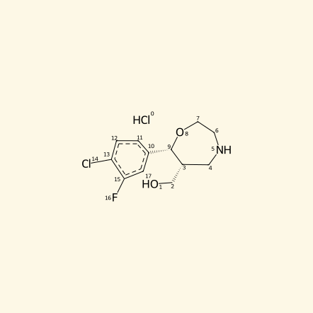 Cl.OC[C@H]1CNCCO[C@H]1c1ccc(Cl)c(F)c1